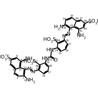 Nc1ccc2cc(S(=O)(=O)O)cc(N)c2c1N=Nc1cccc(NC(=O)Nc2cccc(N=Nc3c(N)ccc4cc(S(=O)(=O)O)cc(N)c34)c2S(=O)(=O)O)c1S(=O)(=O)O